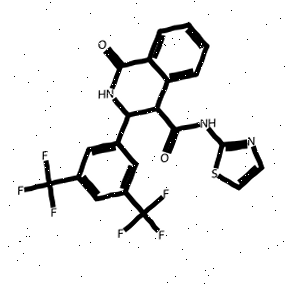 O=C1NC(c2cc(C(F)(F)F)cc(C(F)(F)F)c2)C(C(=O)Nc2nccs2)c2ccccc21